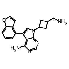 NCC1CC(n2cc(-c3cccc4occc34)c3c(N)ncnc32)C1